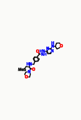 CSCC(NCc1ccc(C(=O)NNc2ccnc(NC3CCOCC3)n2)cc1)C(=O)N1CCOCC1